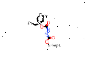 CCCCCCCOC(=O)/N=N/C(=O)O[Si](CC(C)C)(CC(C)C)CC(C)C